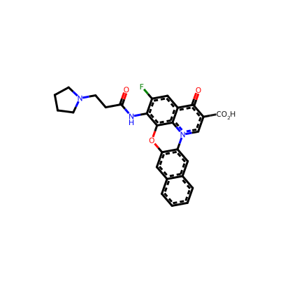 O=C(CCN1CCCC1)Nc1c(F)cc2c(=O)c(C(=O)O)cn3c2c1Oc1cc2ccccc2cc1-3